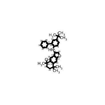 CC(C)(C)c1ccc(Nc2coc3cc4c(cc23)C(C)(C)CCC4(C)C)c(-c2ccccc2)c1